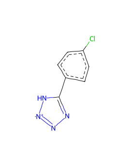 Clc1ccc(C2=NN=[N+]N2)cc1